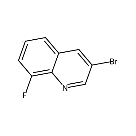 Fc1c[c]cc2cc(Br)cnc12